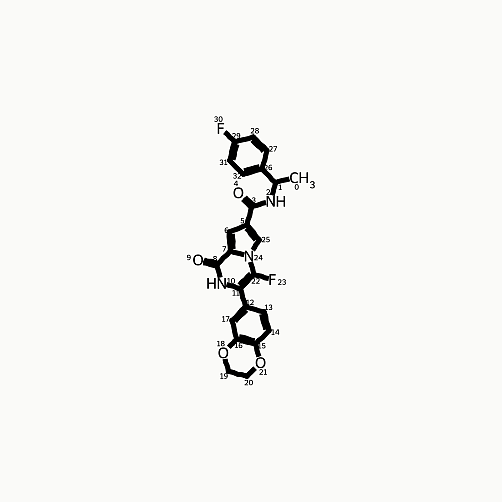 CC(NC(=O)c1cc2c(=O)[nH]c(-c3ccc4c(c3)OCCO4)c(F)n2c1)c1ccc(F)cc1